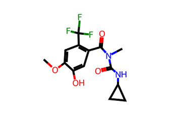 COc1cc(C(F)(F)F)c(C(=O)N(C)C(=O)NC2CC2)cc1O